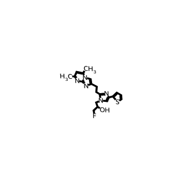 Cc1cc(C)n2cc(CCc3nc(-c4cccs4)cn3CC(O)CF)nc2n1